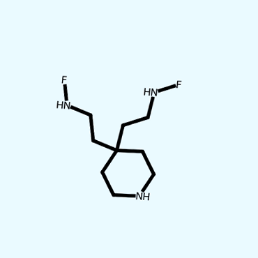 FNCCC1(CCNF)CCNCC1